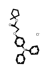 CC1(OC(=O)COc2ccc([S+](c3ccccc3)c3ccccc3)cc2)CCCC1.[Cl-]